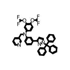 FC(F)Oc1ccc(N(Cc2cccnc2)c2cccc(-c3ccn(C(c4ccccc4)(c4ccccc4)c4ccccc4)n3)c2)cc1OC(F)F